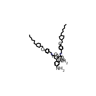 CCCCCCC1CCC(COc2ccc(/C=C/C(=O)CC(c3ccc(N)cc3N)C(O)(O)C(=O)/C=C/c3ccc(OCC4CCC(CCCCCC)CC4)cc3)cc2)CC1